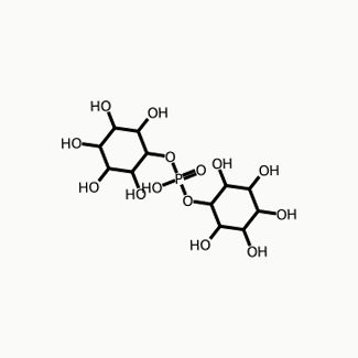 O=P(O)(OC1C(O)C(O)C(O)C(O)C1O)OC1C(O)C(O)C(O)C(O)C1O